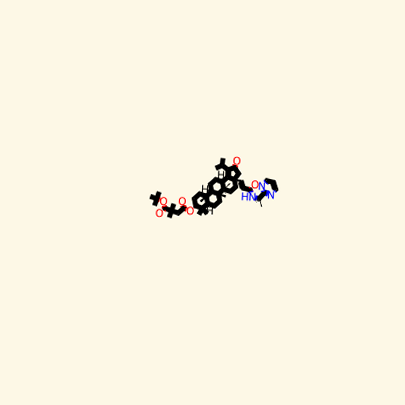 CC(C)C1=C2[C@H]3CC[C@@H]4[C@@]5(C)CC[C@H](OC(=O)CC(C)(C)C(=O)OC(C)(C)C)C(C)(C)[C@@H]5CC[C@@]4(C)[C@]3(C)CC[C@@]2(C=CC(=O)N[C@@H](C)c2ncccn2)CC1=O